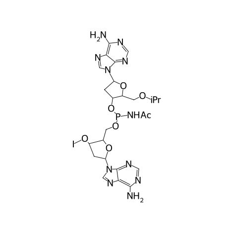 CC(=O)NP(OCC1OC(n2cnc3c(N)ncnc32)CC1OI)OC1CC(n2cnc3c(N)ncnc32)OC1COC(C)C